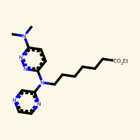 CCOC(=O)CCCCCCN(c1cnccn1)c1ccc(N(C)C)nn1